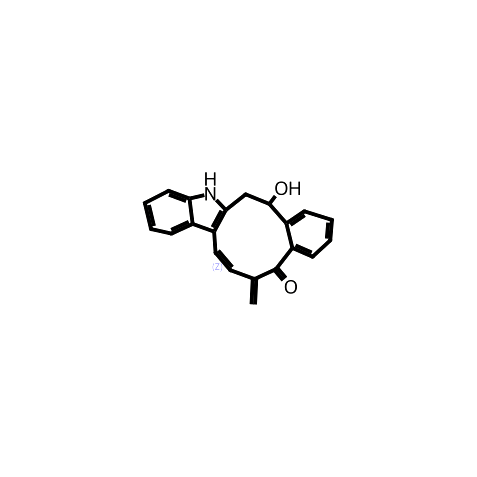 C=C1/C=C\c2c([nH]c3ccccc23)CC(O)c2ccccc2C1=O